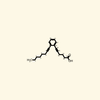 CCCCCCC#Cc1ccccc1C#CCCCC(=O)O